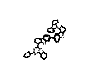 C1=c2c(oc3cc(-c4ccc5oc6cccc(-n7c8ccccc8c8ccccc87)c6c5c4)ccc23)=C(C2=NC(c3ccccc3)=NC(c3ccccc3)N2)CC1